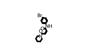 O=C(/C=C\C(=O)N1CCCCC1)Nc1ccc(Br)cc1